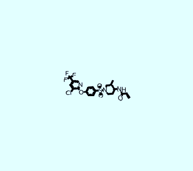 C=CC(=O)NC1CCN(S(=O)(=O)c2ccc(Oc3ncc(C(F)(F)F)cc3Cl)cc2)CC1C